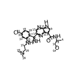 COC[C@H](C)NC(=O)c1c[nH]c2ncc(C(=N)c3ccc(Cl)cc3NCCN(C)C)nc12